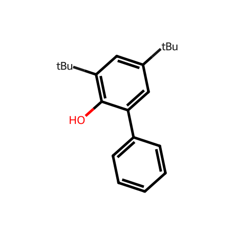 CC(C)(C)c1cc(-c2ccccc2)c(O)c(C(C)(C)C)c1